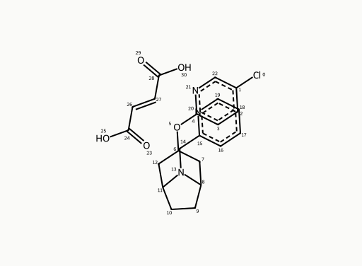 Clc1ccc(OC2CC3CCC(C2)N3Cc2ccccn2)nc1.O=C(O)/C=C/C(=O)O